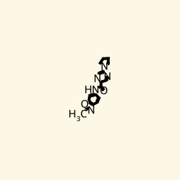 Cc1nc2ccc(NC(=O)c3cnc(N4CCCC4)cn3)cc2o1